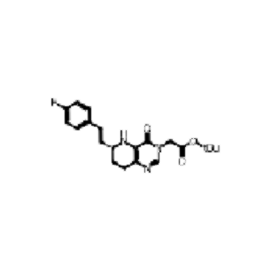 CC(C)(C)OC(=O)Cn1cnc2c(c1=O)N[C@H](CCc1ccc(F)cc1)CC2